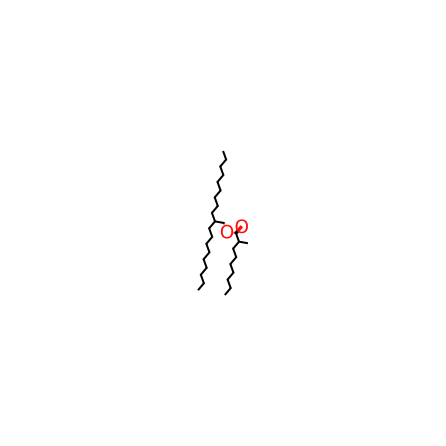 CCCCCCCCCC(CCCCCCCCC)COC(=O)C(C)CCCCCCC